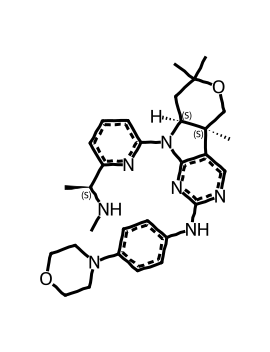 CN[C@@H](C)c1cccc(N2c3nc(Nc4ccc(N5CCOCC5)cc4)ncc3[C@]3(C)COC(C)(C)C[C@H]23)n1